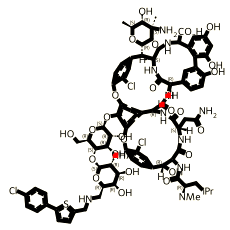 CN[C@H](CC(C)C)C(=O)NC1C(=O)N[C@@H](CC(N)=O)C(=O)N[C@H]2C(=O)N[C@H]3C(=O)N[C@H](C(=O)NC(C(=O)O)c4cc(O)cc(O)c4-c4cc3ccc4O)C([C@H]3C[C@](C)(N)[C@@H](O)[C@H](C)O3)c3ccc(c(Cl)c3)Oc3cc2cc(c3O[C@@H]2O[C@H](CO)[C@@H](O[C@@H]3O[C@H](CNCc4ccc(-c5ccc(Cl)cc5)s4)[C@H](O)[C@H](O)[C@H]3NC(C)=O)[C@H](O)[C@H]2O)Oc2ccc(cc2Cl)[C@H]1O